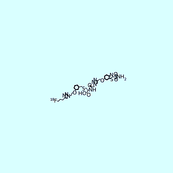 NS(=O)(=O)c1nc2ccc(OCc3cn(CC(=O)N[C@H](CSCc4cccc(OCCn5cc(CCC[18F])nn5)c4)C(=O)O)nn3)cc2s1